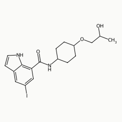 CC(O)COC1CCC(NC(=O)c2cc(I)cc3cc[nH]c23)CC1